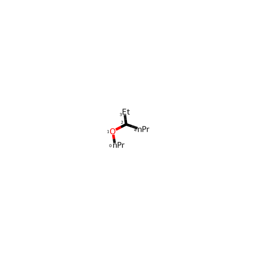 CCCOC(CC)CCC